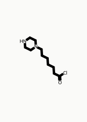 O=C(Cl)CCCCCCN1CCNCC1